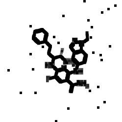 C=C(N)c1cc(F)c(NC(CCc2ccccc2)[C@H](C)N)nc1Nc1ccc2c(cnn2CC)c1